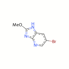 COc1nc2ncc(Br)cc2[nH]1